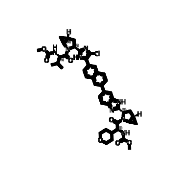 COC(=O)N[C@H](C(=O)N1C2C[C@@H]2C[C@H]1c1nc(Cl)c(-c2ccc3cc(-c4ccc5nc([C@@H]6C[C@H]7CC7N6C(=O)[C@@H](NC(=O)OC)C6CCOCC6)[nH]c5c4)ccc3c2)[nH]1)C(C)C